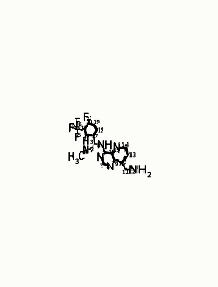 CNC[C@@H](Nc1ncnc2c(CN)ccnc12)c1ccc(F)c(C(F)(F)F)c1